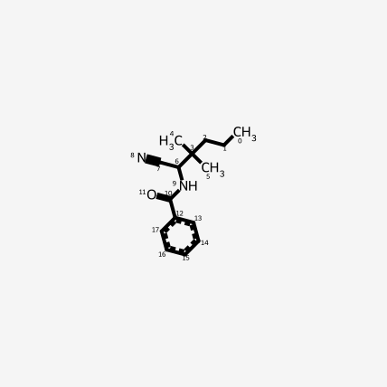 CCCC(C)(C)C(C#N)NC(=O)c1ccccc1